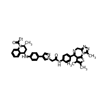 CCC(=O)N1c2ccccc2[C@H](Nc2ccc(-c3cnn(CC(=O)Nc4ccc(C5=NCc6nnc(C)n6-c6sc(C)c(C)c65)cc4)c3)cc2)C[C@H]1C